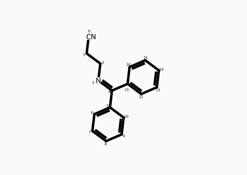 N#CCCN=C(c1ccccc1)c1ccccc1